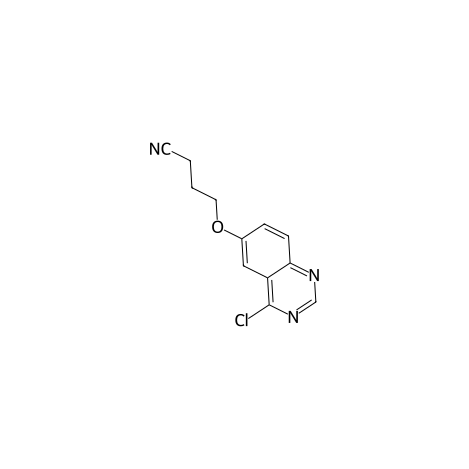 N#CCCCOc1ccc2ncnc(Cl)c2c1